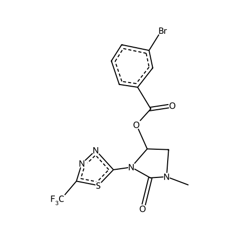 CN1CC(OC(=O)c2cccc(Br)c2)N(c2nnc(C(F)(F)F)s2)C1=O